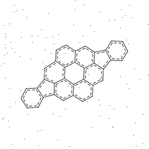 c1ccc2c(c1)c1cc3ccc4cc5c6ccccc6c6cc7ccc8cc2c1c1c3c4c(c56)c7c81